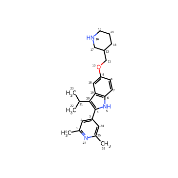 Cc1cc(-c2[nH]c3ccc(OCC4CCCNC4)cc3c2C(C)C)cc(C)n1